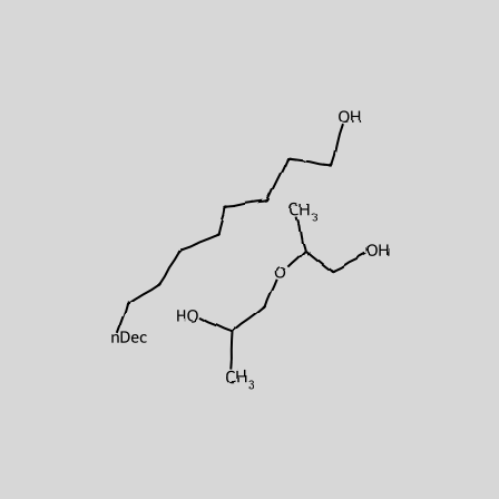 CC(O)COC(C)CO.CCCCCCCCCCCCCCCCCCO